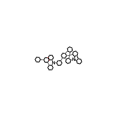 c1ccc(-c2cccc(-c3ccccc3N(c3ccccc3)c3cccc(-c4ccc5c(c4)C4(c6ccccc6-5)c5ccccc5-n5c6ccccc6c6cccc4c65)c3)c2)cc1